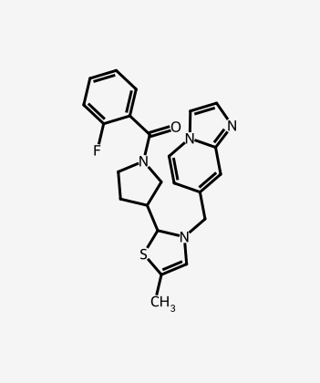 CC1=CN(Cc2ccn3ccnc3c2)C(C2CCN(C(=O)c3ccccc3F)C2)S1